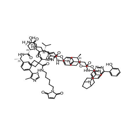 Cc1ncsc1-c1ccc([C@H](C)NC(=O)[C@@H]2C[C@@H](O)CN2C(=O)[C@@H](c2cc(OCN3CCN(CCOc4cc(N5C6CCC5CN(c5cc(-c7ccccc7O)nnc5NC(=O)OCc5ccc(NC(=O)[C@H](CCCNC(N)=O)NC(=O)C7(C(=O)NCCCCCN8C(=O)C=CC8=O)CCC7)cc5)C6)ccn4)[C@H](C)C3)no2)C(C)C)cc1